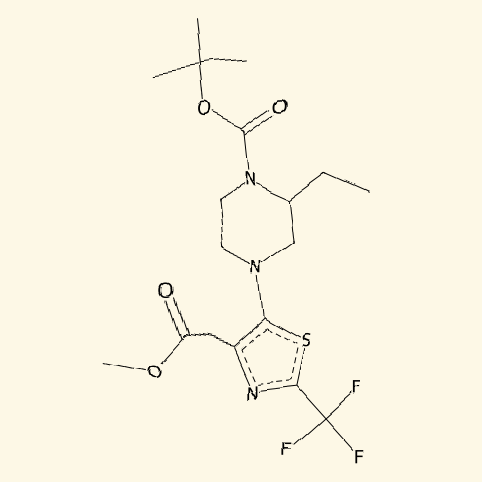 CCC1CN(c2sc(C(F)(F)F)nc2C(=O)OC)CCN1C(=O)OC(C)(C)C